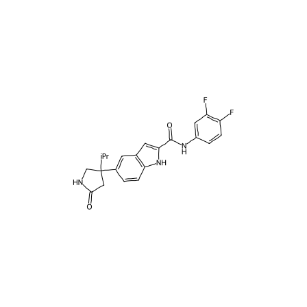 CC(C)C1(c2ccc3[nH]c(C(=O)Nc4ccc(F)c(F)c4)cc3c2)CNC(=O)C1